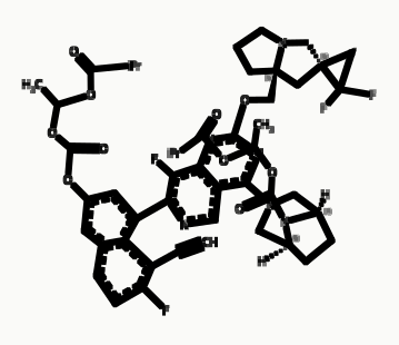 C#Cc1c(F)ccc2cc(OC(=O)OC(C)OC(=O)C(C)C)cc(-c3ncc4c(N5C[C@H]6CC[C@@H](C5)N6C(=O)OC(C)OC(=O)C(C)C)nc(OC[C@@]56CCCN5C[C@@]5(CC5(F)F)C6)nc4c3F)c12